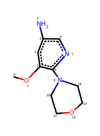 COc1cc(N)cnc1N1CCOCC1